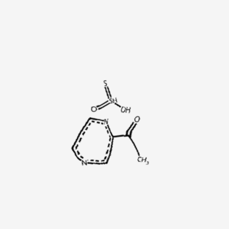 CC(=O)c1cnccn1.O=[SH](O)=S